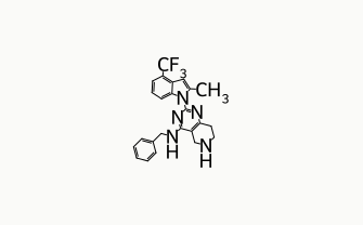 Cc1cc2c(C(F)(F)F)cccc2n1-c1nc2c(c(NCc3ccccc3)n1)CNCC2